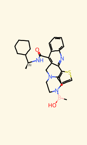 CB(O)N1CCN(Cc2c(-c3cccs3)nc3ccccc3c2C(=O)N[C@@H](C)C2CCCCC2)CC1